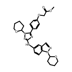 COC(=O)COc1ccc(-c2nc(Nc3ccc4c(cnn4C4CCCCO4)c3)nn2C2CCCCO2)cc1